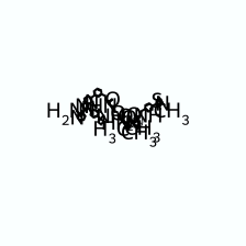 Cc1ncsc1-c1ccc(CNC(=O)[C@@H]2CCCN2C(=O)C(NC(=O)COCCNC(=O)CCc2cccc(-c3ccc4nc(-c5cccnc5N)n(-c5ccc(C6(N)CCC6)cc5)c4n3)c2)C(C)(C)C)cc1